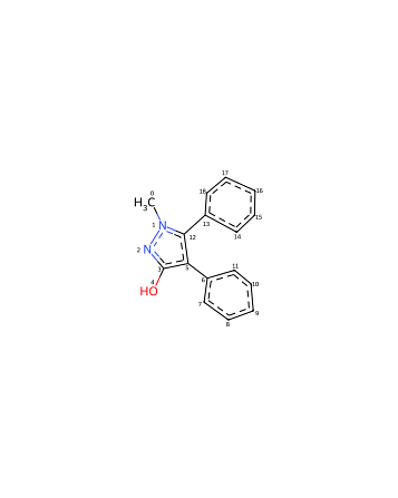 Cn1nc(O)c(-c2ccccc2)c1-c1ccccc1